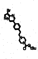 CC(C)(C)OC(=O)N1CCN(CCc2ccc(-c3cnc4c(Br)cnn4c3)cc2)CC1